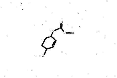 CC(C)(C)OC(=O)NC1C=CC(Cl)CC1